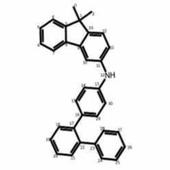 CC1(C)c2ccccc2-c2cc(Nc3ccc(-c4ccccc4-c4ccccc4)cc3)ccc21